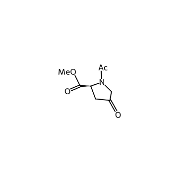 COC(=O)[C@@H]1CC(=O)CN1C(C)=O